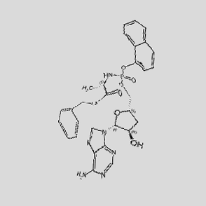 C[C@H](NP(=O)(OC[C@@H]1C[C@@H](O)[C@H](n2cnc3c(N)ncnc32)O1)Oc1cccc2ccccc12)C(=O)OCc1ccccc1